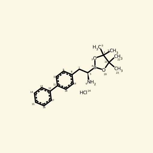 CC1(C)OB([C@@H](N)Cc2ccc(-c3ccccc3)cc2)OC1(C)C.Cl